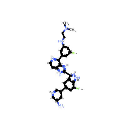 CN(C)CCNc1cc(F)cc(-c2nccc3[nH]c(-c4n[nH]c5c(F)cc(-c6cncc(N)c6)cc45)nc23)c1